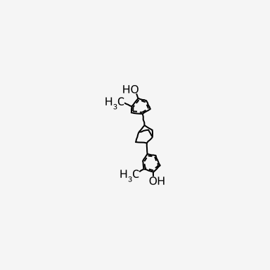 Cc1cc(C2CC3CC2CC3c2ccc(O)c(C)c2)ccc1O